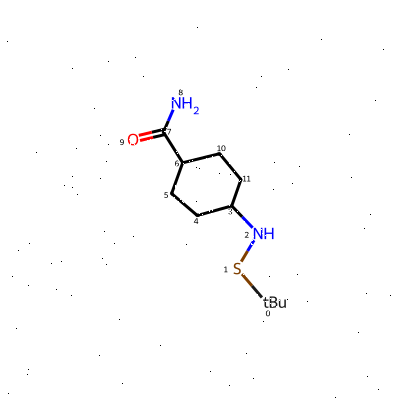 CC(C)(C)SNC1CCC(C(N)=O)CC1